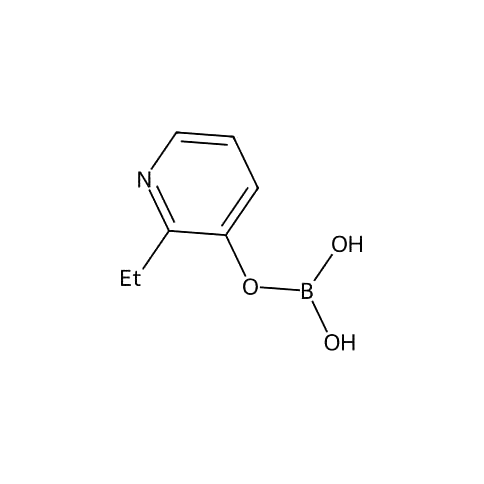 CCc1ncccc1OB(O)O